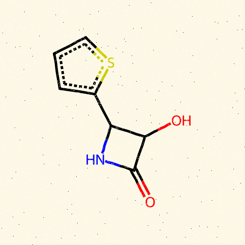 O=C1NC(c2cccs2)C1O